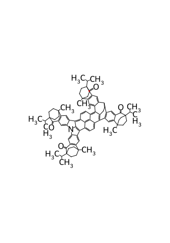 CC(C)C12CCC(C)(CC1)c1cc3c(cc1C2=O)C1CCc2c-3c3ccc4c5c(ccc(c2-c2cc6c(cc21)C(=O)C1(C(C)C)CCC6(C)CC1)c35)c1c2cc3c(cc2n2c5cc6c(cc5c4c12)C1(C)CCC(C(C)C)(CC1)C6=O)C(=O)C1(C(C)C)CCC3(C)CC1